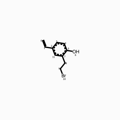 C=Cc1ccc(O)c(CCBr)c1